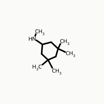 CNC1CC(C)(C)CC(C)(C)C1